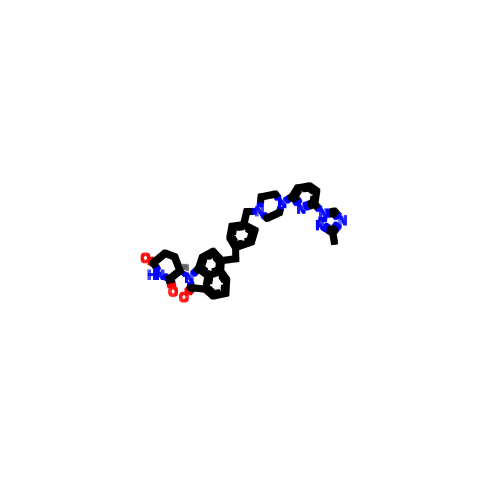 Cc1ncn(-c2cccc(N3CCN(Cc4ccc(Cc5ccc6c7c(cccc57)C(=O)N6[C@@H]5CCC(=O)NC5=O)cc4)CC3)n2)n1